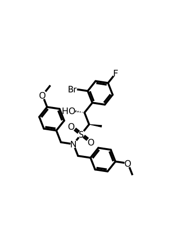 COc1ccc(CN(Cc2ccc(OC)cc2)S(=O)(=O)[C@H](C)[C@H](O)c2ccc(F)cc2Br)cc1